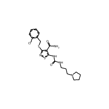 NC(=O)c1c(SCc2ccccc2Cl)nsc1NC(=O)NCCCN1CCCC1